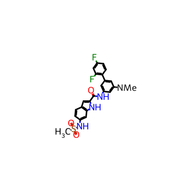 CNc1cc(NC(=O)c2cc3ccc(NS(C)(=O)=O)cc3[nH]2)cc(-c2ccc(F)cc2F)c1